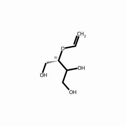 C=CO[C@@H](CO)C(O)CO